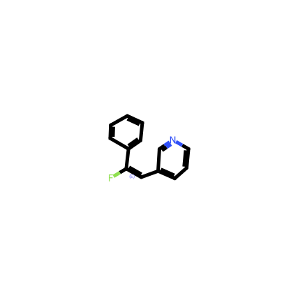 F/C(=C/c1cccnc1)c1ccccc1